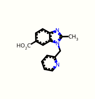 Cc1nc2ccc(C(=O)O)cc2n1Cc1ccccn1